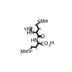 CSCCC(NC(=O)C(CCSC)NO)C(=O)O